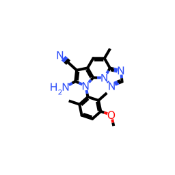 COc1ccc(C)c(-n2c(N)c(C#N)c3cc(C)c4ncnn4c32)c1C